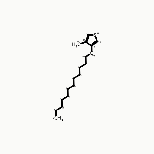 CCCCCCCCCCCCOc1cscc1C